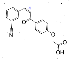 N#Cc1cccc(/C=C\C(=O)c2ccc(OCC(=O)O)cc2)c1